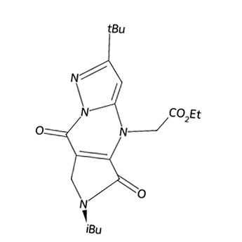 CCOC(=O)Cn1c2c(c(=O)n3nc(C(C)(C)C)cc13)CN([C@H](C)CC)C2=O